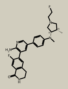 C[C@H]1CN(CCF)C[C@H]1N(C)c1ccc(-c2cnc(N)c(-c3cc4c(cc3F)C(=O)NCC4)c2)cc1